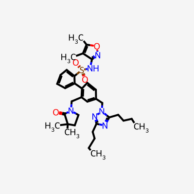 CCCCc1nc(CCCC)n(Cc2ccc(-c3ccccc3S(=O)(=O)Nc3noc(C)c3C)c(CN3CCC(C)(C)C3=O)c2)n1